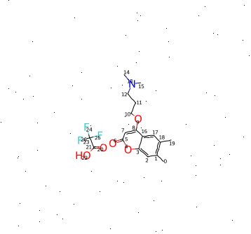 Cc1cc2oc(=O)cc(OCCCN(C)C)c2cc1C.O=C(O)C(F)(F)F